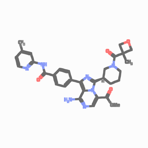 COC(=O)c1cnc(N)c2c(-c3ccc(C(=O)Nc4cc(C(F)(F)F)ccn4)cc3)nc([C@@H]3CCCN(C(=O)C4(C)COC4)C3)n12